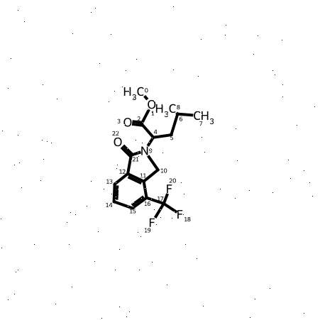 COC(=O)C(CC(C)C)N1Cc2c(cccc2C(F)(F)F)C1=O